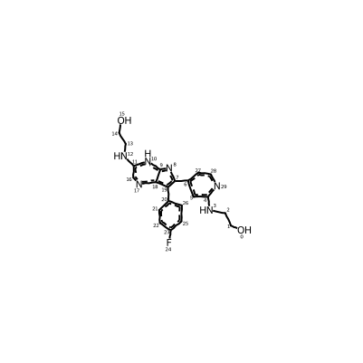 OCCNc1cc(-c2nc3[nH]c(NCCO)cnc-3c2-c2ccc(F)cc2)ccn1